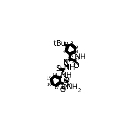 CC(C)(C)c1ccc2c(c1)C(=NNC(=S)Nc1ccccc1S(N)(=O)=O)C(=O)N2